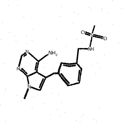 Cn1cc(-c2cccc(CNS(C)(=O)=O)c2)c2c(N)ncnc21